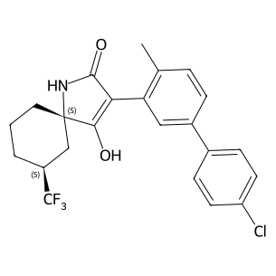 Cc1ccc(-c2ccc(Cl)cc2)cc1C1=C(O)[C@@]2(CCC[C@H](C(F)(F)F)C2)NC1=O